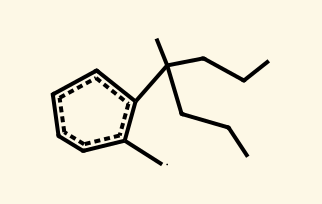 [CH2]c1ccccc1C(C)(CCC)CCC